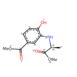 COC(=O)c1ccc(O)c(N[C@@H](C)C(=O)OC)c1